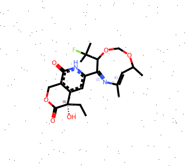 CC[C@@]1(O)C(=O)OCc2c1cc(/C1=N/C(C)=C/C(C)OCOC1C(C)(C)F)[nH]c2=O